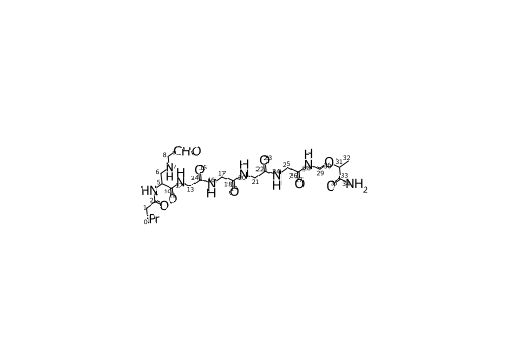 CC(C)CC(=O)NC(CNCC=O)C(=O)NCC(=O)NCC(=O)NCC(=O)NCC(=O)NCOC(C)C(N)=O